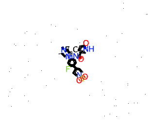 C[C@@H]1CN(c2cc(F)c(C3=CCN(S(C)(=O)=O)CC3)cc2NC(=O)c2c[nH]c(=O)cc2C(F)(F)F)C[C@H](C)N1C